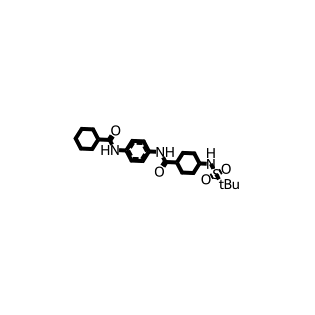 CC(C)(C)S(=O)(=O)NC1CCC(C(=O)Nc2ccc(NC(=O)C3CCCCC3)cc2)CC1